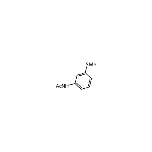 CSc1[c]ccc(NC(C)=O)c1